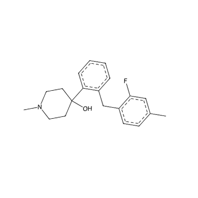 Cc1ccc(Cc2ccccc2C2(O)CCN(C)CC2)c(F)c1